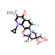 CCOC(=O)c1cn(C2CC2)c2c3c(c(F)cc2c1=O)N1C[C@](O)(CO)C[C@@H]1CO3